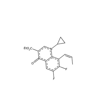 C/C=C\c1c(F)c(F)cc2c(=O)c(C(=O)OCC)cn(C3CC3)c12